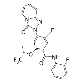 C[C@H](Oc1cc(-n2nc3ccccn3c2=O)c(F)cc1C(=O)Nc1ccccc1F)C(F)(F)F